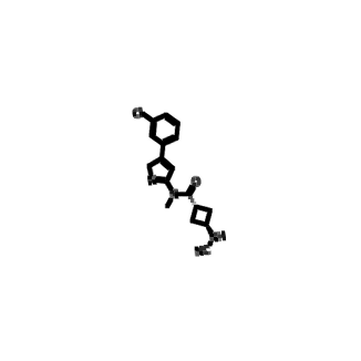 CN(C1=NCC(c2cccc(Cl)c2)=C1)C(=O)[C@H]1C[C@H](NC#N)C1